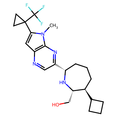 Cn1c(C2(C(F)(F)F)CC2)cc2ncc([C@@H]3CCC[C@@H](C4CCC4)[C@H](CO)N3)nc21